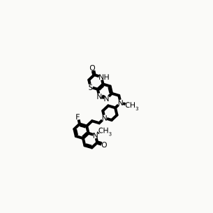 CN(Cc1cc2c(nn1)SCC(=O)N2)C1CCN(CCc2c(F)ccc3ccc(=O)n(C)c23)CC1